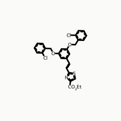 CCOC(=O)c1csc(C=Cc2cc(OCc3ccccc3Cl)cc(OCc3ccccc3Cl)c2)n1